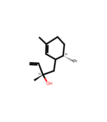 C=C[C@@](C)(O)CC1C=C(C)CC[C@@H]1C(C)C